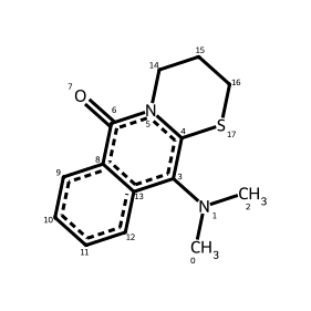 CN(C)c1c2n(c(=O)c3ccccc13)CCCS2